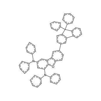 c1ccc(N(c2ccccc2)c2cc(N(c3ccccc3)c3ccccc3)c3oc4ccc(-c5ccc6c(c5)-c5ccccc5C6(c5ccccc5)c5ccccc5)cc4c3c2)cc1